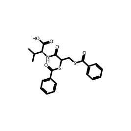 CC(C)[C@H](NC(=O)C(CSC(=O)c1ccccc1)SC(=O)c1ccccc1)C(=O)O